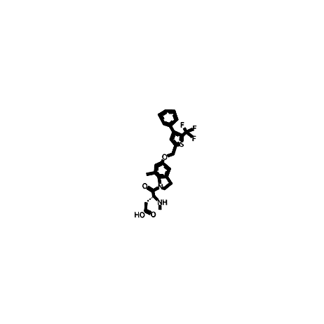 CN[C@H](CC(=O)O)C(=O)N1CCc2cc(OCc3cc(-c4ccccc4)c(C(F)(F)F)s3)cc(C)c21